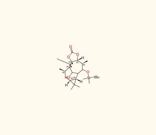 CC1=C[C@]23C(O)C(C(O[Si](C)(C)C(C)(C)C)[C@H](C)[C@H]4OC(=O)O[C@]42C1)[C@H]1[C@@H](C[C@H]3C)C1(C)C